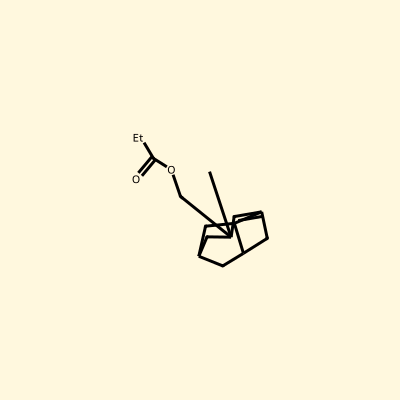 CCC(=O)OCC1(C)C=C2CC3CC(CC23)C1